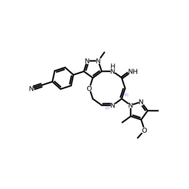 COc1c(C)nn(C2=C/C(=N)Nc3c(c(-c4ccc(C#N)cc4)nn3C)OC/C=N\2)c1C